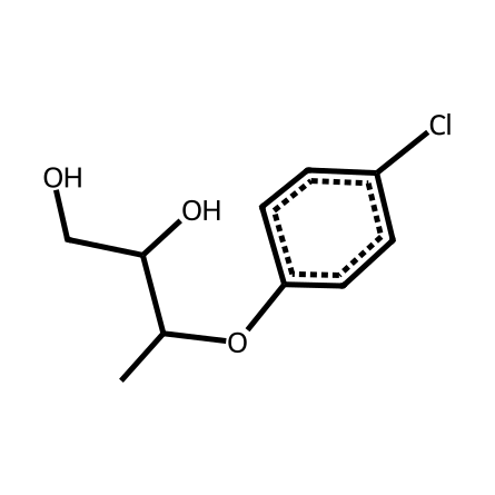 CC(Oc1ccc(Cl)cc1)C(O)CO